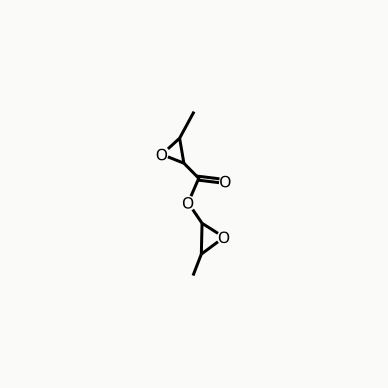 CC1OC1OC(=O)C1OC1C